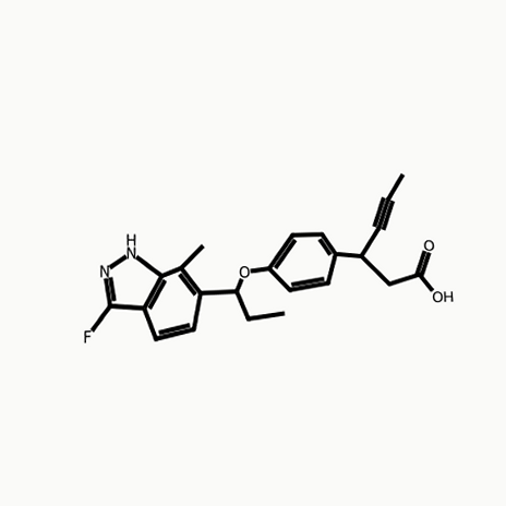 CC#CC(CC(=O)O)c1ccc(OC(CC)c2ccc3c(F)n[nH]c3c2C)cc1